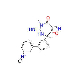 [C-]#[N+]c1cccc(-c2cccc(C3(C)NC(=N)N(C)C(=O)c4cnoc43)c2)c1